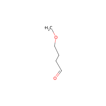 [CH2]OCCCC=O